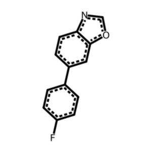 Fc1ccc(-c2ccc3ncoc3c2)cc1